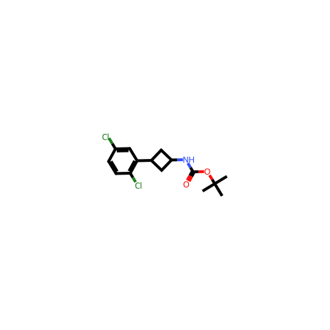 CC(C)(C)OC(=O)NC1CC(c2cc(Cl)ccc2Cl)C1